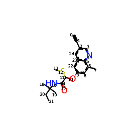 C#Cc1cnc2c(C)cc(OC(SC)C(=O)NC(C)(C)CC)cc2c1